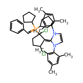 Cc1cc(C)c(N2C=CN(c3c(C)cc(C)cc3C)C2=C2C(Cl)CCC2(Cl)P(=Cc2ccccc2)(C2CCCC2)C2CCCC2)c(C)c1